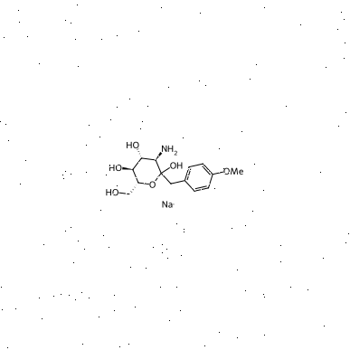 COc1ccc(CC2(O)O[C@H](CO)[C@@H](O)[C@H](O)[C@H]2N)cc1.[Na]